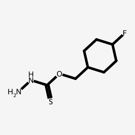 NNC(=S)OCC1CCC(F)CC1